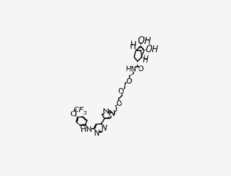 O=C(NCCOCCOCCOCCn1cc(-c2cc(Nc3ccc(OC(F)(F)F)cc3)ncn2)cn1)[C@H]1C[C@@H]2C[C@H]1[C@@H](O)[C@H]2O